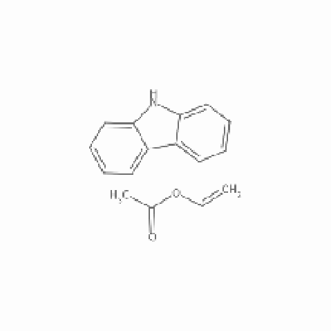 C=COC(C)=O.c1ccc2c(c1)[nH]c1ccccc12